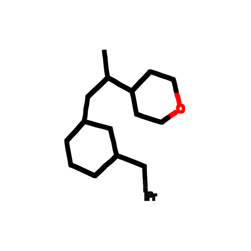 CC(C)CC1CCCC(CC(C)C2CCOCC2)C1